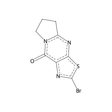 O=c1c2nc(Br)sc2nc2n1CCC2